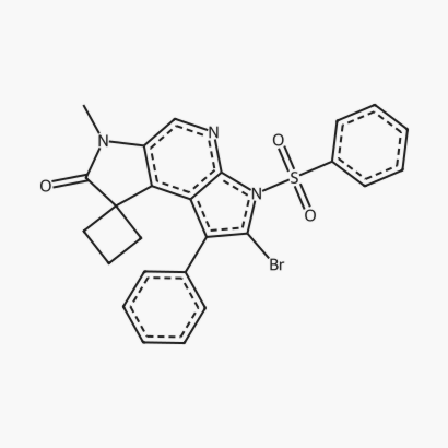 CN1C(=O)C2(CCC2)c2c1cnc1c2c(-c2ccccc2)c(Br)n1S(=O)(=O)c1ccccc1